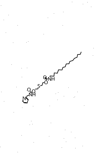 CCCCCCCCCCCCCCCCCNC(=O)OCCSCCOC(=O)NCc1ccccn1